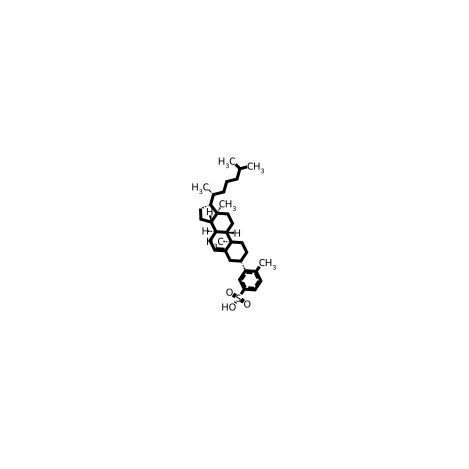 Cc1ccc(S(=O)(=O)O)cc1[C@H]1CC[C@@]2(C)C(=CC[C@H]3[C@@H]4CC[C@H]([C@H](C)CCCC(C)C)[C@@]4(C)CC[C@@H]32)C1